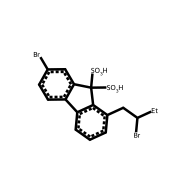 CCC(Br)Cc1cccc2c1C(S(=O)(=O)O)(S(=O)(=O)O)c1cc(Br)ccc1-2